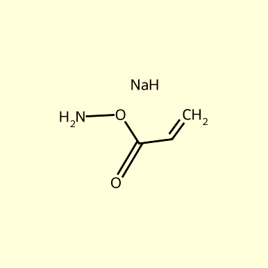 C=CC(=O)ON.[NaH]